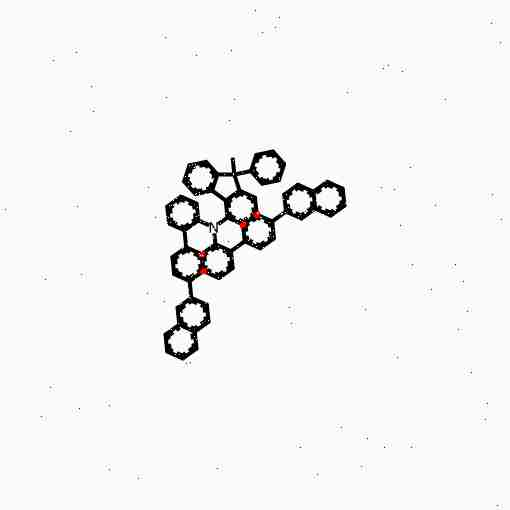 CC1(c2ccccc2)c2ccccc2-c2c(N(c3ccccc3-c3ccc(-c4ccc5ccccc5c4)cc3)c3ccccc3-c3ccc(-c4ccc5ccccc5c4)cc3)cccc21